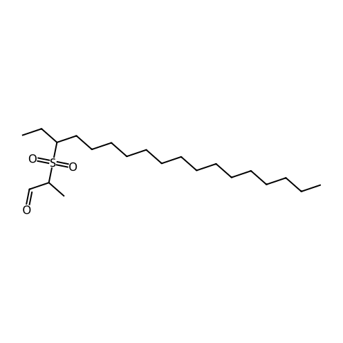 CCCCCCCCCCCCCCCC(CC)S(=O)(=O)C(C)C=O